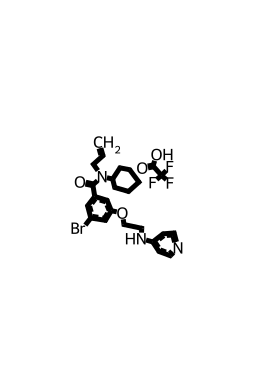 C=CCN(C(=O)c1cc(Br)cc(OCCNc2ccncc2)c1)C1CCCCC1.O=C(O)C(F)(F)F